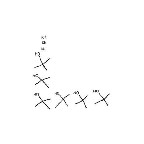 CC(C)(C)O.CC(C)(C)O.CC(C)(C)O.CC(C)(C)O.CC(C)(C)O.CC(C)(C)O.[KH].[KH].[KH]